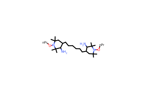 CCCON1C(C)(C)CC(CCCCCCC2CC(C)(C)N(OCCC)C(C)(C)C2N)C(N)C1(C)C